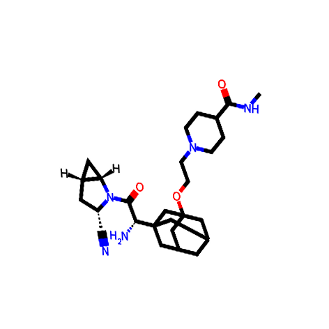 CNC(=O)C1CCN(CCOC23CC4CC(C2)CC([C@H](N)C(=O)N2[C@H](C#N)C[C@@H]5C[C@@H]52)(C4)C3)CC1